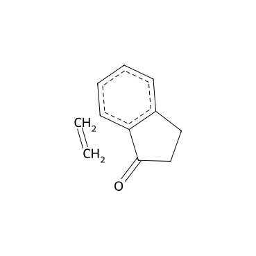 C=C.O=C1CCc2ccccc21